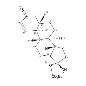 CCOC(=O)O[C@@]1(O)CC[C@H]2[C@@H]3CC[C@H]4CC(=O)C=C[C@]4(C)[C@H]3CC[C@@]21C